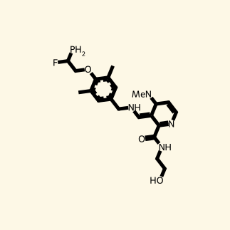 CNC1C=CN=C(C(=O)NCCO)/C1=C/NCc1cc(C)c(OCC(F)P)c(C)c1